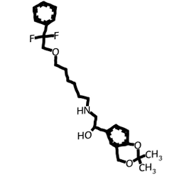 CC1(C)OCc2cc(C(O)CNCCCCCCOCC(F)(F)c3ccccc3)ccc2O1